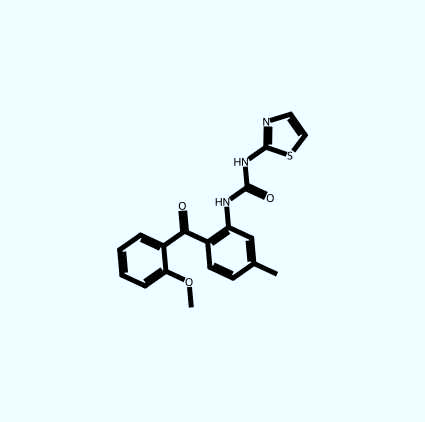 COc1ccccc1C(=O)c1ccc(C)cc1NC(=O)Nc1nccs1